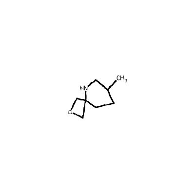 CC1CCC2(COC2)NC1